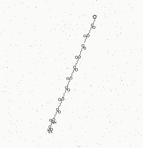 CCC(C)(C)C(=O)OCCNC(=O)OCCCCCC(=O)OCCCCCC(=O)OCCCCCC(=O)OCCCCCC(=O)OCCCCCC(=O)OCCCCCC(=O)OCCCCCC(=O)OCCCCCC(=O)OCCCCCC(=O)OCCCc1ccccc1